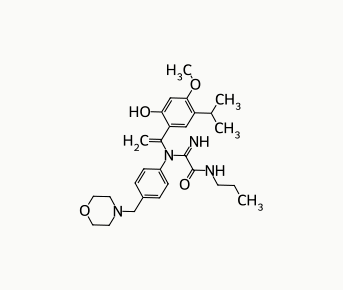 C=C(c1cc(C(C)C)c(OC)cc1O)N(C(=N)C(=O)NCCC)c1ccc(CN2CCOCC2)cc1